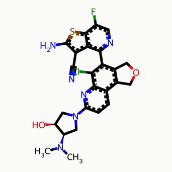 CN(C)[C@@H]1CN(c2ccc3c4c(c(-c5ncc(F)c6sc(N)c(C#N)c56)c(Cl)c3n2)COC4)C[C@@H]1O